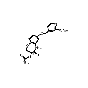 COc1cc(COc2ccc3c(c2)N(C)C(=O)[C@@H](OC(N)=O)CO3)ccn1